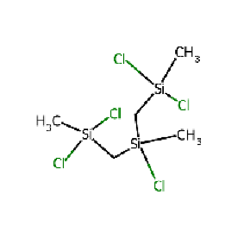 C[Si](Cl)(Cl)C[Si](C)(Cl)C[Si](C)(Cl)Cl